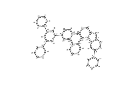 c1ccc(-c2ccc3oc4ccc5c6ccc(-c7nc(-c8ccccc8)cc(-c8ccccc8)n7)cc6c6ccccc6c5c4c3c2)cc1